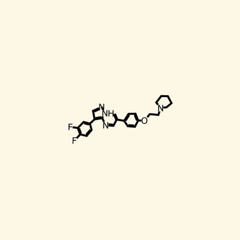 C=C(/C=N\c1[nH]ncc1-c1ccc(F)c(F)c1)c1ccc(OCCN2CCCCC2)cc1